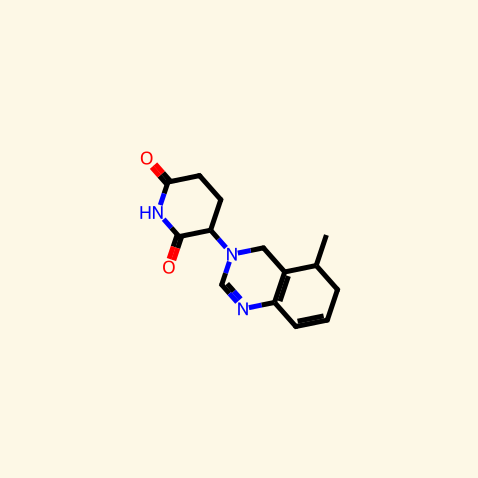 CC1CC=CC2=C1CN(C1CCC(=O)NC1=O)C=N2